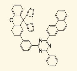 C1=C(c2cccc(-c3nc(-c4ccccc4)nc(-c4ccc5c(ccc6ccccc65)c4)n3)c2)CCC2=C1C1(c3ccccc3O2)c2ccccc2-c2ccccc21